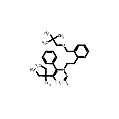 C=NN(CCc1ccccc1COCC(C)(C)C)/C(=C(\C)C(C)(CC)CC)c1ccccc1